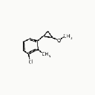 COC1CC1c1cccc(Cl)c1C